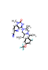 CCC1CN(c2nc(=O)n(C)c3ccc(C#N)nc23)[C@@H](C)CN1C(C)c1ccc(OC(F)(F)F)cc1F